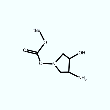 CC(C)(C)OC(=O)ON1CC(N)C(O)C1